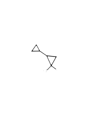 ClC1(Cl)CC1[C]1CC1